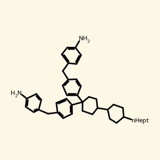 CCCCCCCC1CCC(C2CCC(c3ccc(Cc4ccc(N)cc4)cc3)(c3ccc(Cc4ccc(N)cc4)cc3)CC2)CC1